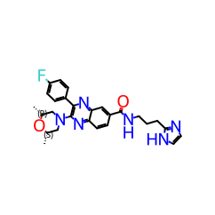 C[C@@H]1CN(c2nc3ccc(C(=O)NCCCc4ncc[nH]4)cc3nc2-c2ccc(F)cc2)C[C@H](C)O1